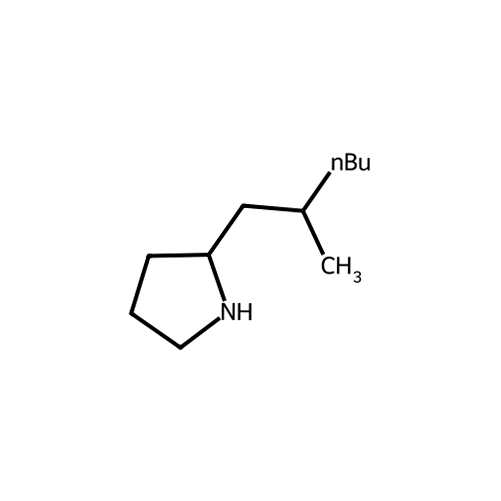 CCCCC(C)CC1CCCN1